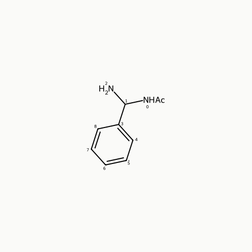 CC(=O)NC(N)c1c[c]ccc1